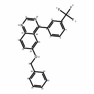 FC(F)(F)c1cccc(-c2ncnc3ccc(OCc4ccccc4)cc23)c1